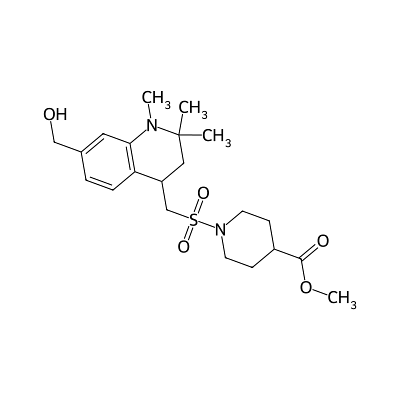 COC(=O)C1CCN(S(=O)(=O)CC2CC(C)(C)N(C)c3cc(CO)ccc32)CC1